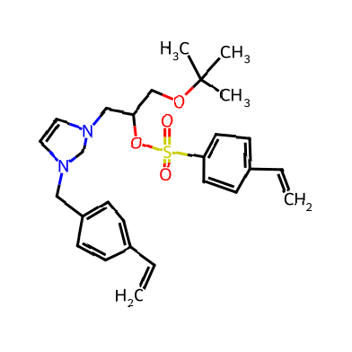 C=Cc1ccc(CN2C=CN(CC(COC(C)(C)C)OS(=O)(=O)c3ccc(C=C)cc3)C2)cc1